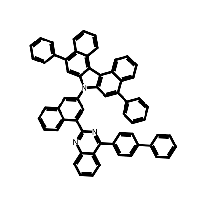 c1ccc(-c2ccc(-c3nc(-c4cc(-n5c6cc(-c7ccccc7)c7ccccc7c6c6c7ccccc7c(-c7ccccc7)cc65)cc5ccccc45)nc4ccccc34)cc2)cc1